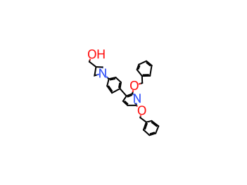 OCC1CN(c2ccc(-c3ccc(OCc4ccccc4)nc3OCc3ccccc3)cc2)C1